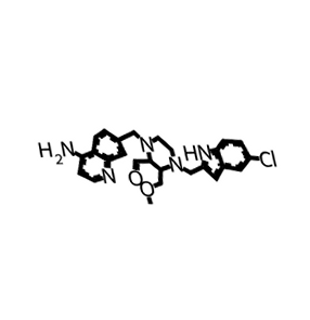 COCC1C(C=O)N(Cc2ccc3c(N)ccnc3c2)CCN1Cc1cc2cc(Cl)ccc2[nH]1